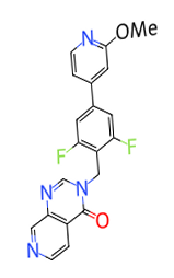 COc1cc(-c2cc(F)c(Cn3cnc4cnccc4c3=O)c(F)c2)ccn1